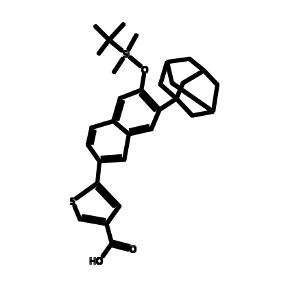 CC(C)(C)[Si](C)(C)Oc1cc2ccc(-c3cc(C(=O)O)cs3)cc2cc1C12CC3CC(CC(C3)C1)C2